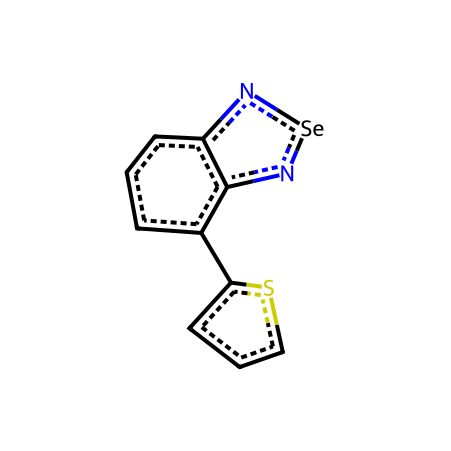 c1csc(-c2cccc3n[se]nc23)c1